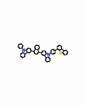 c1ccc(-n2c3ccccc3c3cc(-c4ccc(-c5ccc6c(c5)c5ccccc5n6-c5ccc(-c6cccc7c6sc6ccccc67)cc5)c5ccccc45)ccc32)cc1